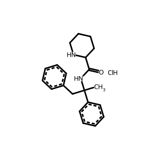 CC(Cc1ccccc1)(NC(=O)C1CCCCN1)c1ccccc1.Cl